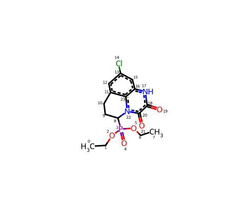 CCOP(=O)(OCC)C1CCc2cc(Cl)cc3[nH]c(=O)c(=O)n1c23